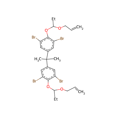 C=CCOC(CC)Oc1c(Br)cc(C(C)(C)c2cc(Br)c(OC(CC)OCC=C)c(Br)c2)cc1Br